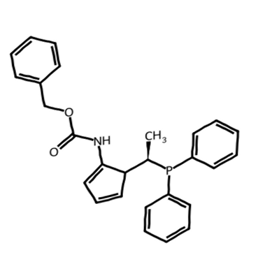 C[C@H](C1C=CC=C1NC(=O)OCc1ccccc1)P(c1ccccc1)c1ccccc1